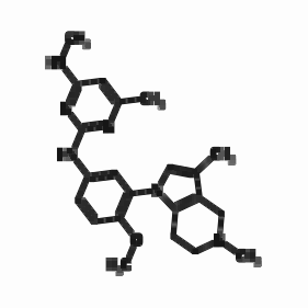 CNc1cc(C)nc(Nc2ccc(OC)c(-n3cc(C)c4c3CCN(C)C4)c2)n1